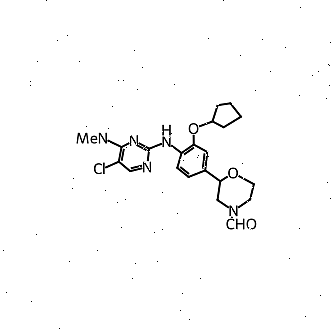 CNc1nc(Nc2ccc(C3CN(C=O)CCO3)cc2OC2CCCC2)ncc1Cl